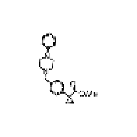 COC(=O)C1(c2ccc(CN3CCN(c4ccccc4)CC3)cc2)CC1